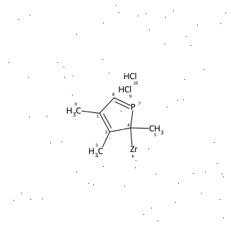 CC1=C(C)[C](C)([Zr])P=C1.Cl.Cl